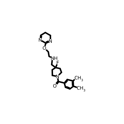 Cc1ccc(C(=O)N2CCC(F)(CNCCOC3=NCCC=N3)CC2)cc1C